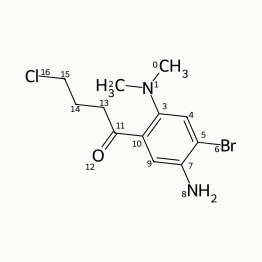 CN(C)c1cc(Br)c(N)cc1C(=O)CCCCl